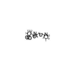 c1ccc(COCc2coc(-c3cccc4c3OCO4)n2)nc1